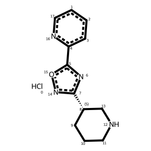 Cl.c1ccc(-c2nc([C@H]3CCCNC3)no2)nc1